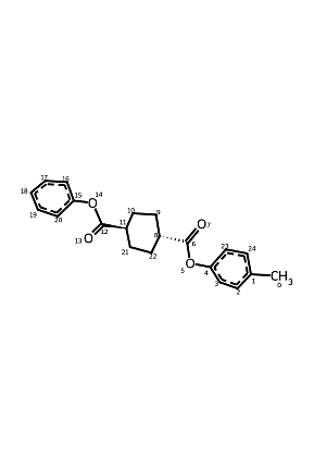 Cc1ccc(OC(=O)[C@H]2CC[C@H](C(=O)Oc3ccccc3)CC2)cc1